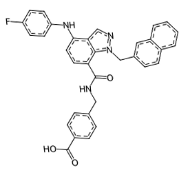 O=C(O)c1ccc(CNC(=O)c2ccc(Nc3ccc(F)cc3)c3cnn(Cc4ccc5ccccc5c4)c23)cc1